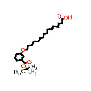 CC(C)(C)OC(=O)c1cccc(OCCCCCCCCCCCCCCCC(=O)O)c1